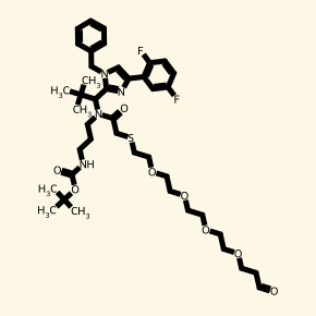 CC(C)(C)OC(=O)NCCCN(C(=O)CSCCOCCOCCOCCOCCC=O)C(c1nc(-c2cc(F)ccc2F)cn1Cc1ccccc1)C(C)(C)C